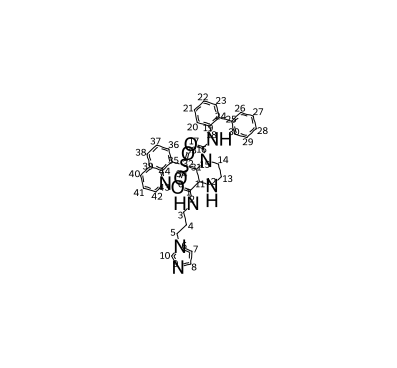 O=C(NCCCn1ccnc1)C1NCCN(C(=O)Nc2ccccc2-c2ccccc2)C1S(=O)(=O)c1cccc2cccnc12